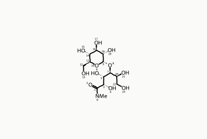 CNC(=O)[C@@H](O)[C@H](O)[C@@H](O[C@@H]1O[C@@H](CO)[C@H](O)[C@@H](O)[C@@H]1O)[C@@H](O)CO